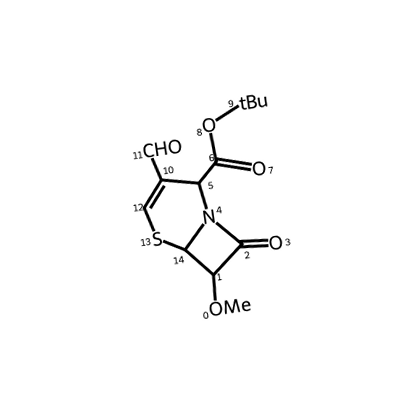 COC1C(=O)N2C(C(=O)OC(C)(C)C)C(C=O)=CSC12